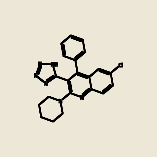 Clc1ccc2nc(N3CCCCC3)c(-c3nnn[nH]3)c(-c3ccccc3)c2c1